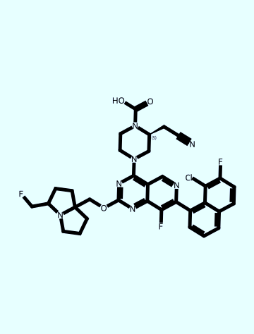 N#CC[C@H]1CN(c2nc(OCC34CCCN3C(CF)CC4)nc3c(F)c(-c4cccc5ccc(F)c(Cl)c45)ncc23)CCN1C(=O)O